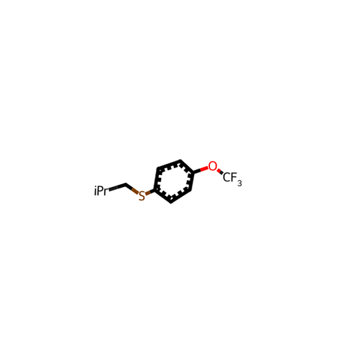 CC(C)CSc1ccc(OC(F)(F)F)cc1